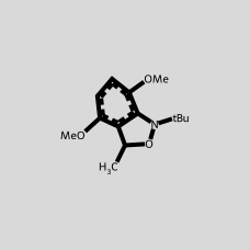 COc1ccc(OC)c2c1C(C)ON2C(C)(C)C